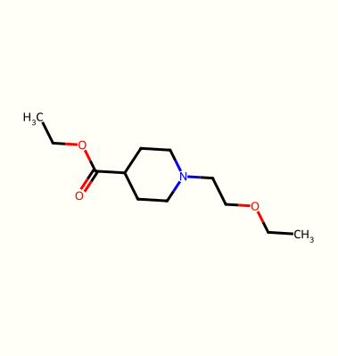 CCOCCN1CCC(C(=O)OCC)CC1